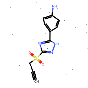 C#CCS(=O)(=O)c1n[nH]c(-c2ccc(N)cc2)n1